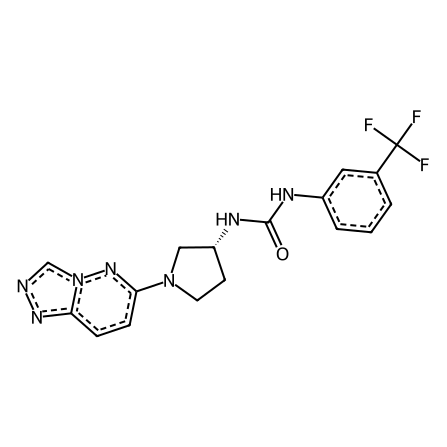 O=C(Nc1cccc(C(F)(F)F)c1)N[C@@H]1CCN(c2ccc3nncn3n2)C1